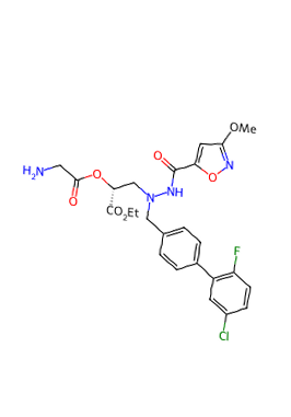 CCOC(=O)[C@@H](CN(Cc1ccc(-c2cc(Cl)ccc2F)cc1)NC(=O)c1cc(OC)no1)OC(=O)CN